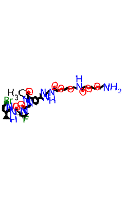 CC(=O)c1nn(CC(=O)N2C[C@H](F)C[C@H]2C(=O)Nc2nc(Br)ccc2C2CC2)c2ccc(-c3cnc(CNC(=O)COCCOCCNC(=O)COCCOCCN)nc3)cc12